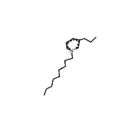 CCCCCCCCC[n+]1cccc(CCC)c1